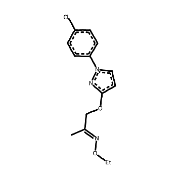 CCON=C(C)COc1ccn(-c2ccc(Cl)cc2)n1